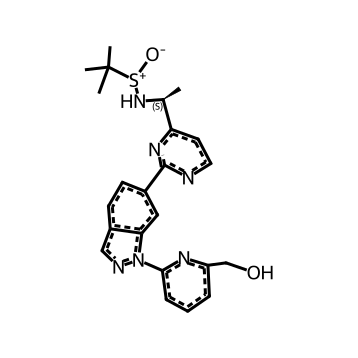 C[C@H](N[S+]([O-])C(C)(C)C)c1ccnc(-c2ccc3cnn(-c4cccc(CO)n4)c3c2)n1